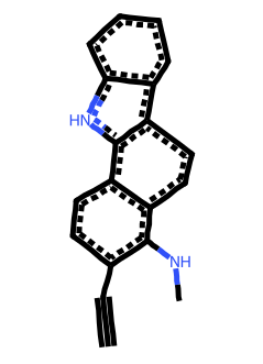 C#Cc1ccc2c(ccc3c4ccccc4[nH]c23)c1NC